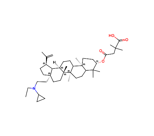 C=C(C)[C@@H]1CC[C@]2(CCN(CC)C3CC3)CC[C@]3(C)[C@H](CCC4[C@@]5(C)CC[C@H](OC(=O)CC(C)(C)C(=O)O)C(C)(C)C5CC[C@]43C)C12